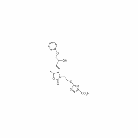 C[C@@H]1OC(=O)N(CCSc2nc(C(=O)O)cs2)[C@H]1C=CC(O)COc1ccccc1